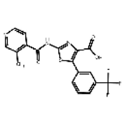 Cc1cnccc1C(=O)Nc1nc(C(=O)O)c(-c2cccc(C(F)(F)F)c2)s1